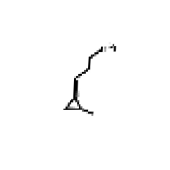 CCCCCC=C1CC1C